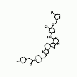 CC1CCN(CC(=O)N2CCC(Cn3cc4c(n3)CCc3c-4sc4ncnc(Nc5ccc(OCc6cccc(F)c6)c(Cl)c5)c34)CC2)CC1